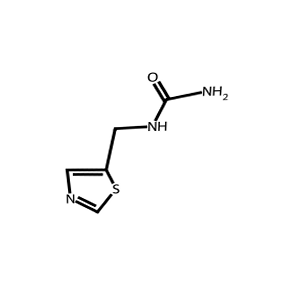 NC(=O)NCc1cncs1